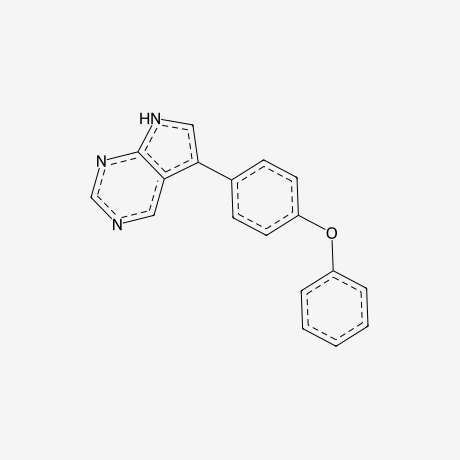 c1ccc(Oc2ccc(-c3c[nH]c4ncncc34)cc2)cc1